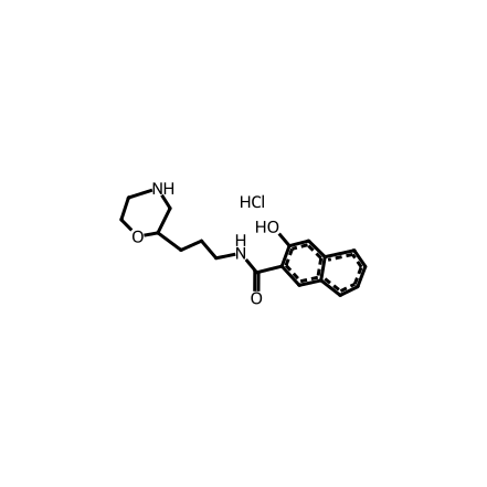 Cl.O=C(NCCCC1CNCCO1)c1cc2ccccc2cc1O